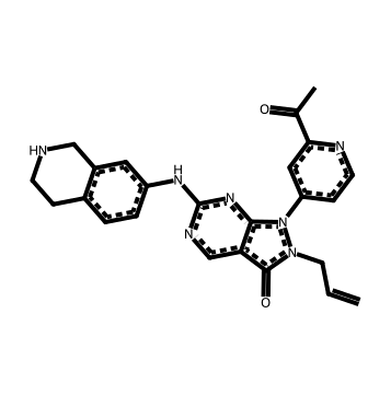 C=CCn1c(=O)c2cnc(Nc3ccc4c(c3)CNCC4)nc2n1-c1ccnc(C(C)=O)c1